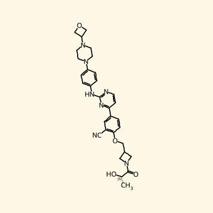 C[C@H](O)C(=O)N1CC(COc2ccc(-c3ccnc(Nc4ccc(N5CCN(C6COC6)CC5)cc4)n3)cc2C#N)C1